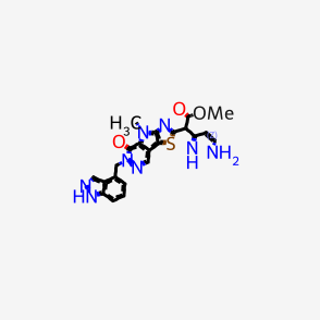 COC(=O)C(C(=N)/C=C\N)c1nc2c(s1)c1cnn(Cc3cccc4[nH]ncc34)c(=O)c1n2C